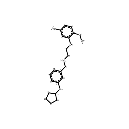 CC(=O)c1ccc(OC(C)C)c(OCCNCc2cccc(OC3CCCC3)c2)c1